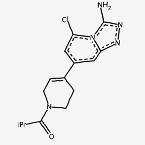 CC(C)C(=O)N1CC=C(c2cc(Cl)n3c(N)nnc3c2)CC1